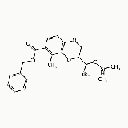 Cc1c(C(=O)OCc2ccccc2)ccc2c1OC(C(O[SiH](C)C)C(C)(C)C)CO2